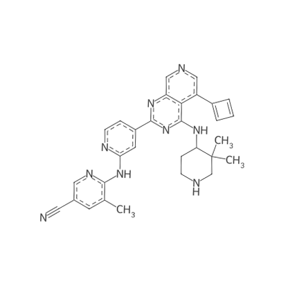 Cc1cc(C#N)cnc1Nc1cc(-c2nc(NC3CCNCC3(C)C)c3c(C4=CC=C4)cncc3n2)ccn1